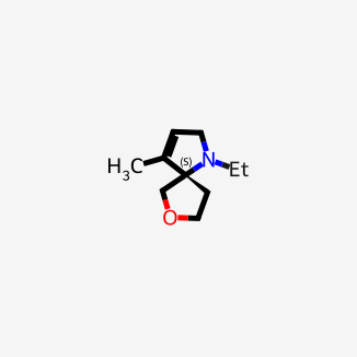 CCN1CC=C(C)[C@]12CCOC2